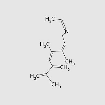 C=C(C)C(=C)/C=C(C)\C(C)=C/C/N=C\C